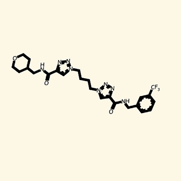 O=C(NCc1cccc(C(F)(F)F)c1)c1cn(CCCCn2cc(C(=O)NCC3CCOCC3)nn2)nn1